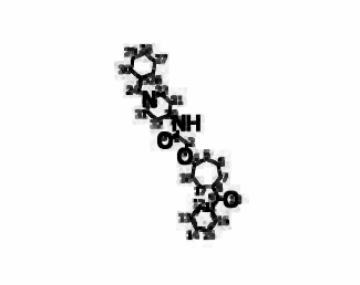 O=C(COC1CCCC(C(=O)c2ccccc2)CC1)NC1CCN(CC2CCCCC2)CC1